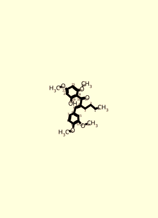 CCCC/C(=C\c1ccc(OC)c(OC)c1)C(=O)c1c(O)cc(OC)cc1OC